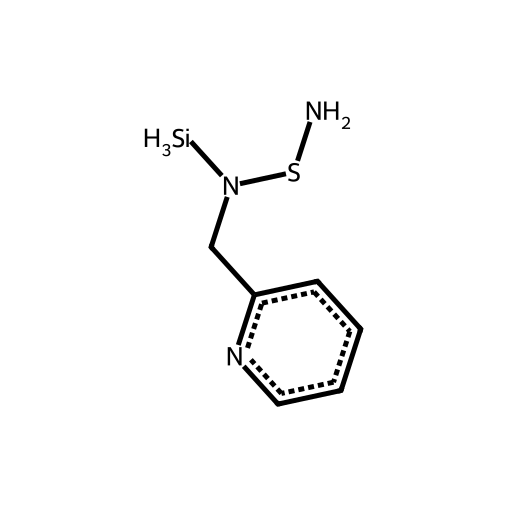 NSN([SiH3])Cc1ccccn1